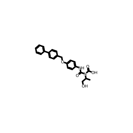 CC(CO)N(C(=O)O)C(=O)Nc1ccc(OCc2ccc(-c3ccccc3)cc2)cc1